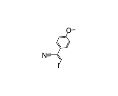 COc1ccc(/C(C#N)=C/I)cc1